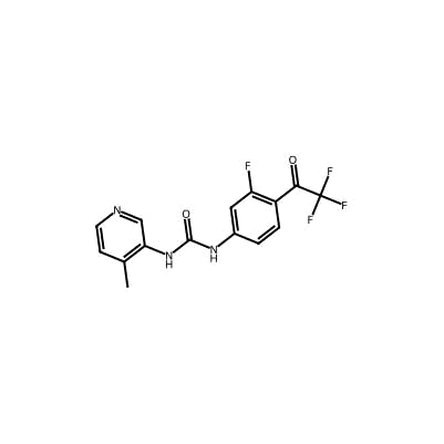 Cc1ccncc1NC(=O)Nc1ccc(C(=O)C(F)(F)F)c(F)c1